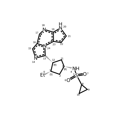 CC[C@H]1C[C@@H](NS(=O)(=O)C2CC2)C[C@H]1c1ncc2cnc3[nH]ccc3n12